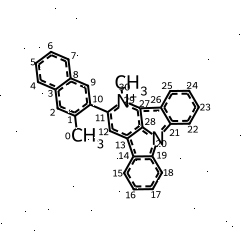 Cc1cc2ccccc2cc1-c1cc2c3ccccc3n3c4ccccc4c(c23)[n+]1C